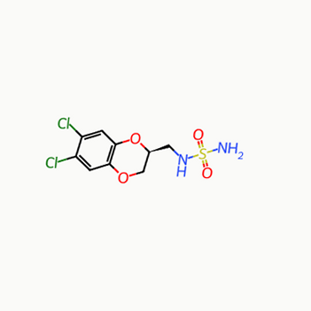 NS(=O)(=O)NC[C@H]1COc2cc(Cl)c(Cl)cc2O1